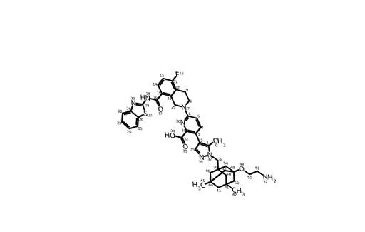 Cc1c(-c2ccc(N3CCc4c(F)ccc(C(=O)Nc5nc6ccccc6s5)c4C3)nc2C(=O)O)cnn1CC12CC3(C)CC(C)(C1)CC(OCCN)(C3)C2